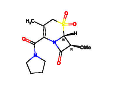 CO[C@H]1C(=O)N2C(C(=O)N3CCCC3)=C(C)CS(=O)(=O)[C@H]12